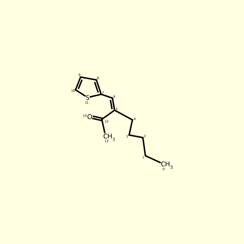 CCCCCC(=Cc1cccs1)C(C)=O